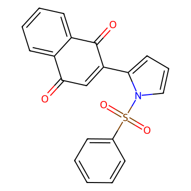 O=C1C=C(c2cccn2S(=O)(=O)c2ccccc2)C(=O)c2ccccc21